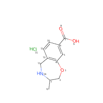 CC1COc2cc(C(=O)O)ccc2CN1.Cl